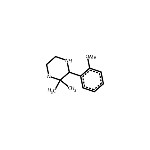 COc1ccccc1C1NCC[N]C1(C)C